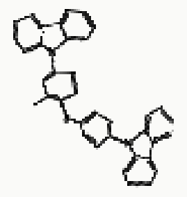 Cc1cc(-n2c3ccccc3c3ccccc32)ccc1Sc1ccc(-n2c3ccccc3c3ccccc32)cc1